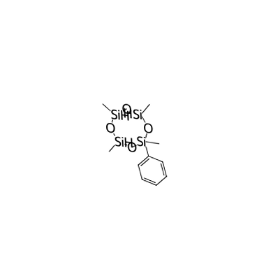 C[SiH]1O[SiH](C)O[Si](C)(c2ccccc2)O[SiH](C)O1